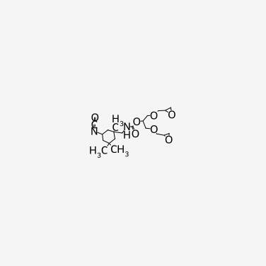 CC1(C)CC(N=C=O)CC(C)(CNC(=O)OC(COCC2CO2)COCC2CO2)C1